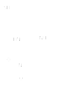 C#CCN/C(=C/[N+](=O)[O-])NCCS